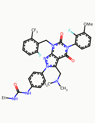 CCNC(=O)Nc1ccc(-n2nc3c(c2CN(C)C)c(=O)n(-c2cccc(OC)c2F)c(=O)n3Cc2c(F)cccc2C(F)(F)F)cc1